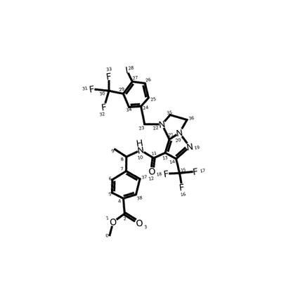 COC(=O)c1ccc(C(C)NC(=O)c2c(C(F)(F)F)nn3c2N(Cc2ccc(I)c(C(F)(F)F)c2)CC3)cc1